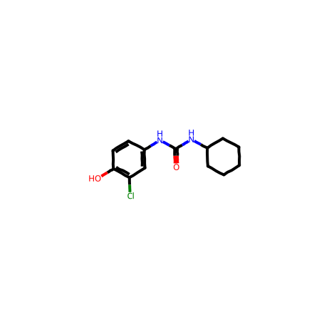 O=C(Nc1ccc(O)c(Cl)c1)NC1CCCCC1